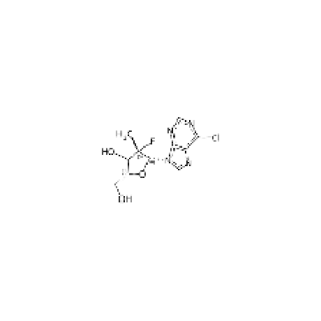 C[C@]1(F)C(O)[C@@H](CO)O[C@H]1n1cnc2c(Cl)ncnc21